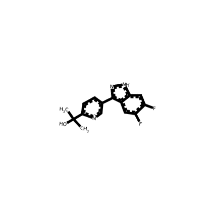 CC(C)(O)c1ccc(-c2n[nH]c3cc(F)c(F)cc23)cn1